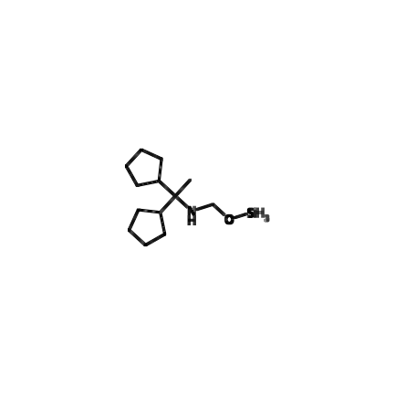 CC(NCO[SiH3])(C1CCCC1)C1CCCC1